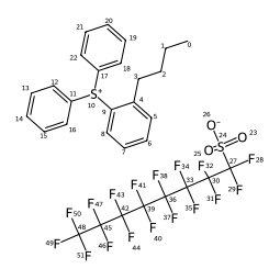 CCCCc1ccccc1[S+](c1ccccc1)c1ccccc1.O=S(=O)([O-])C(F)(F)C(F)(F)C(F)(F)C(F)(F)C(F)(F)C(F)(F)C(F)(F)C(F)(F)F